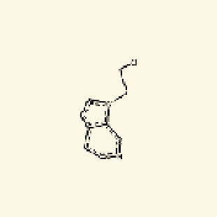 ClCCn1ccc2ccncc21